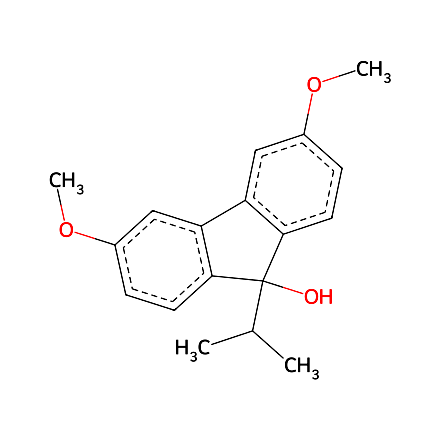 COc1ccc2c(c1)-c1cc(OC)ccc1C2(O)C(C)C